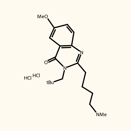 CNCCCCc1nc2ccc(OC)cc2c(=O)n1CC(C)(C)C.Cl.Cl